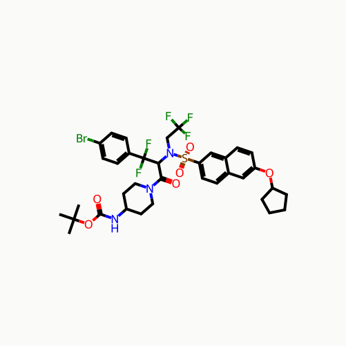 CC(C)(C)OC(=O)NC1CCN(C(=O)C(N(CC(F)(F)F)S(=O)(=O)c2ccc3cc(OC4CCCC4)ccc3c2)C(F)(F)c2ccc(Br)cc2)CC1